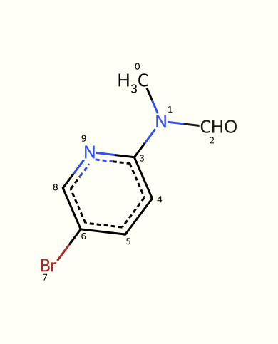 CN(C=O)c1ccc(Br)cn1